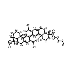 CCCCOC(=O)C1(C)CCCC2(C)c3cc(-c4cc5c(cc4C(C)C)CCC4C(C)(C(=O)OC)CCCC54C)c(C(C)C)cc3CCC12